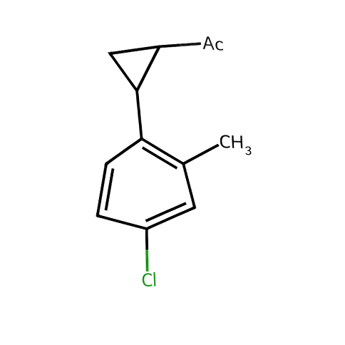 CC(=O)C1CC1c1ccc(Cl)cc1C